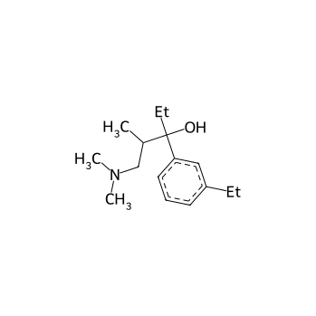 CCc1cccc(C(O)(CC)C(C)CN(C)C)c1